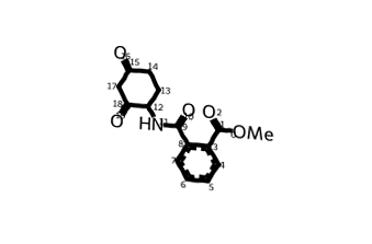 COC(=O)c1ccccc1C(=O)NC1CCC(=O)CC1=O